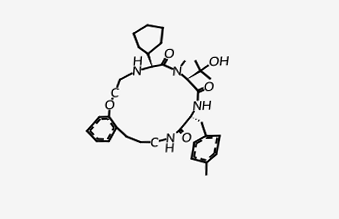 Cc1ccc(C[C@H]2NC(=O)[C@H](C(C)(C)O)N(C)C(=O)[C@H](C3CCCCC3)NCCOc3ccccc3CCCNC2=O)cc1